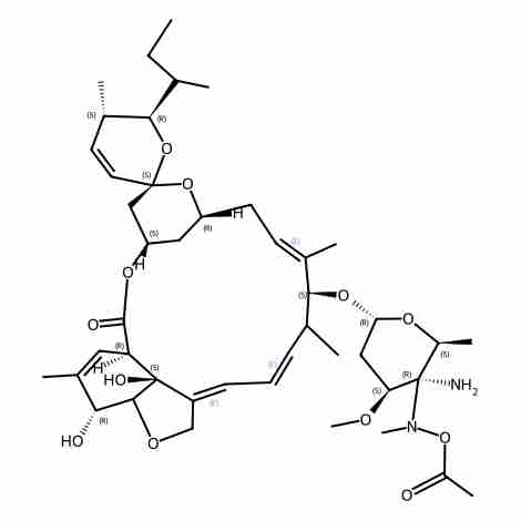 CCC(C)[C@H]1O[C@]2(C=C[C@@H]1C)C[C@@H]1C[C@@H](C/C=C(\C)[C@@H](O[C@H]3C[C@H](OC)[C@](N)(N(C)OC(C)=O)[C@H](C)O3)C(C)/C=C/C=C3\COC4[C@H](O)C(C)=C[C@@H](C(=O)O1)[C@]34O)O2